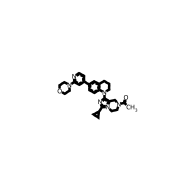 CC(=O)N1CCn2c(C3CC3)nc(N3CCCc4cc(-c5ccnc(N6CCOCC6)c5)ccc43)c2C1